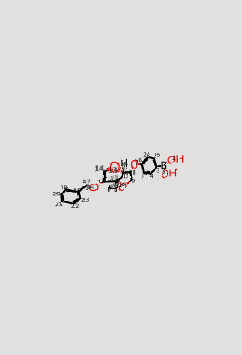 OB(O)c1ccc(O[C@@H]2CO[C@H]3[C@@H]2OC[C@H]3OCc2ccccc2)cc1